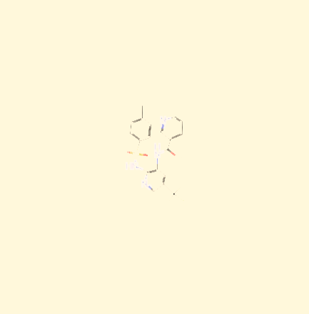 Cc1ccc(S(=O)(=O)Nc2ncc(C(F)(F)F)cc2NC(=O)c2cccnc2)cc1